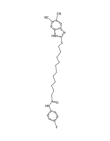 N#Cc1cc2nc(SCCCCCCCCCCCC(=O)Nc3ccc(F)cc3)[nH]c2cc1C#N